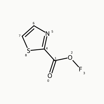 O=C(OF)c1nccs1